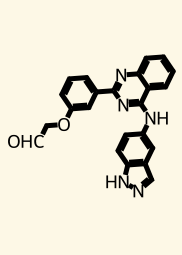 O=CCOc1cccc(-c2nc(Nc3ccc4[nH]ncc4c3)c3ccccc3n2)c1